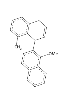 COc1c(C2[C]=CCc3cccc(C)c32)ccc2ccccc12